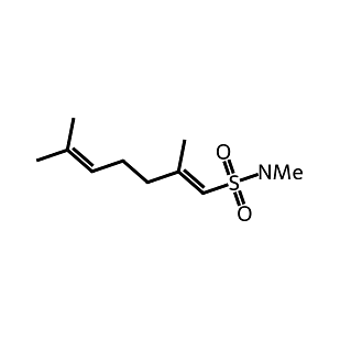 CNS(=O)(=O)/C=C(\C)CCC=C(C)C